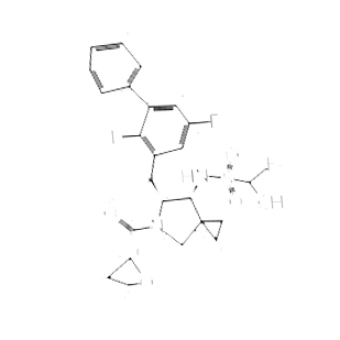 CC(F)S(=O)(=O)N[C@@H]1[C@H](Cc2cc(F)cc(-c3ccccc3)c2F)N(C(=O)[C@H]2CCO2)CC12CC2